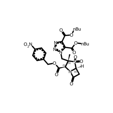 CCCCOC(=O)c1nnn(C[C@@]2(C)[C@H](C(=O)OCc3ccc([N+](=O)[O-])cc3)N3C(=O)C[C@@H]3S2(=O)=O)c1C(=O)OCCCC